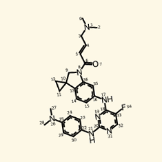 CN(C)C/C=C/C(=O)N1CC2(CC2)c2ccc(Nc3nc(Nc4ccc(N(C)C)cc4)ncc3F)cc21